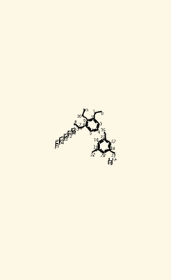 CCc1cccc(CC)c1CC.Cc1cc(C)cc(C)c1.[B+3].[F-].[F-].[F-].[F-].[H+]